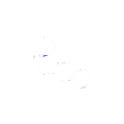 N[C@@H](CO)C(=O)C([C]=O)Cc1ccccc1